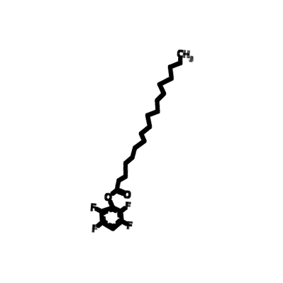 CCCCCCCCCCCCCCCCCC(=O)Oc1c(F)c(F)cc(F)c1F